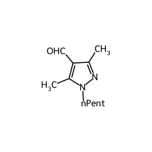 CCCCCn1nc(C)c(C=O)c1C